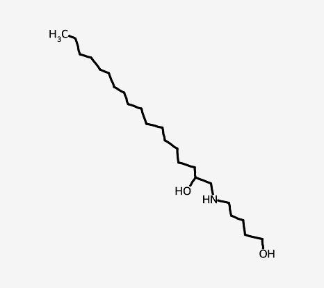 CCCCCCCCCCCCCCCCC(O)CNCCCCCO